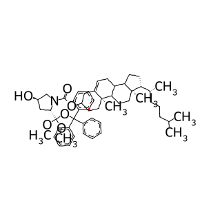 COC(OC)(OC(c1ccccc1)(c1ccccc1)c1ccccc1)[C@@H]1C[C@@H](O)CN1C(=O)OC1CC[C@@]2(C)C(=CCC3C2CC[C@@]2(C)C3CC[C@@H]2[C@H](C)CCCC(C)C)C1